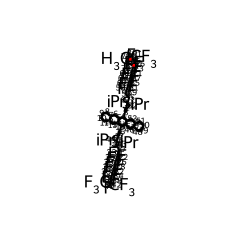 CC(C)[Si](C#Cc1c2cc3ccccc3cc2c(C#C[Si](CCC(F)(F)C(F)(F)C(F)(F)C(F)(F)C(F)(F)C(F)(F)C(F)(C(F)(F)F)C(F)(F)F)(C(C)C)C(C)C)c2cc3ccccc3cc12)(CCC(F)(F)C(F)(F)C(F)(F)C(F)(F)C(F)(F)C(F)(F)C(F)(C(C)(F)F)C(F)(F)F)C(C)C